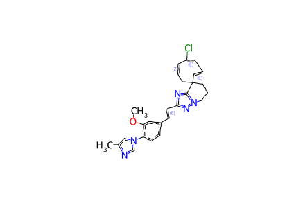 COc1cc(/C=C/c2nc3n(n2)CCCC32/C=C/C=C(Cl)\C=C/C2)ccc1-n1cnc(C)c1